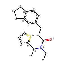 CCN(C(=O)CCc1ccc2c(c1)CCC2)C(C)c1cccs1